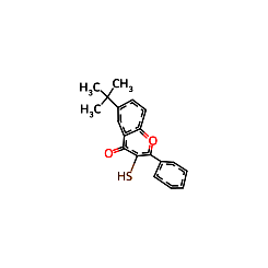 CC(C)(C)c1ccc2oc(-c3ccccc3)c(S)c(=O)c2c1